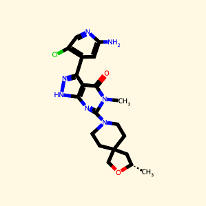 C[C@H]1CC2(CCN(c3nc4[nH]nc(-c5cc(N)ncc5Cl)c4c(=O)n3C)CC2)CO1